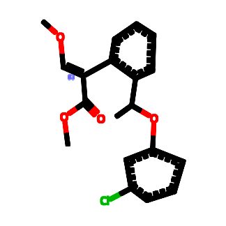 CO/C=C(/C(=O)OC)c1ccccc1C(C)Oc1cccc(Cl)c1